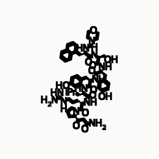 CC(C)C[C@H](NC(=O)[C@@H](Cc1ccc(O)cc1)NC(=O)[C@H](Cc1ccc(O)cc1)NC(=O)[C@H](CO)NC(=O)[C@H](Cc1cccc2ccccc12)NCN1CCOCC1)C(=O)N[C@@H](CCCNC(=N)N)C(=O)N1CCC[C@H]1C(=O)CC(N)=O